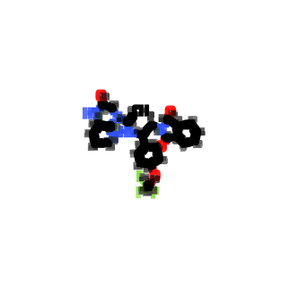 C=C(NC(CN1C(=O)c2ccccc2C1=O)c1ccc(OC(F)(F)F)cc1)N1CC(=O)Nc2cccnc21